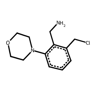 NCc1c(CCl)cccc1N1CCOCC1